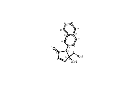 O=C1C=C[C@@](O)(CO)C1c1ccc2ccccc2c1